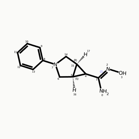 N/C(=N\O)C1[C@H]2CN(c3ccccc3)C[C@@H]12